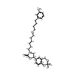 CCCc1cccc(CCCCOCCCCCCN2CC(c3ccc4c(c3)COC(C)(C)O4)OC2=O)c1